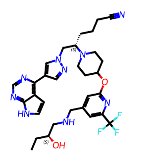 CC[C@H](O)CNCc1cc(OC2CCN([C@@H](CCCC#N)Cn3cc(-c4ncnc5[nH]ccc45)cn3)CC2)nc(C(F)(F)F)c1